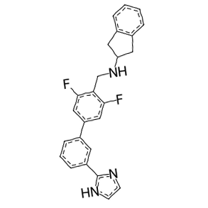 Fc1cc(-c2cccc(-c3ncc[nH]3)c2)cc(F)c1CNC1Cc2ccccc2C1